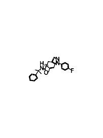 CC1=Cc2c(cnn2-c2ccc(F)cc2)C[C@]1(C)C(=O)NC(C)(C)c1ccccc1